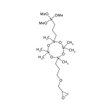 CO[Si](CCC[Si]1(C)O[Si](C)(C)O[Si](C)(CCCOCC2CO2)O[Si](C)(C)O1)(OC)OC